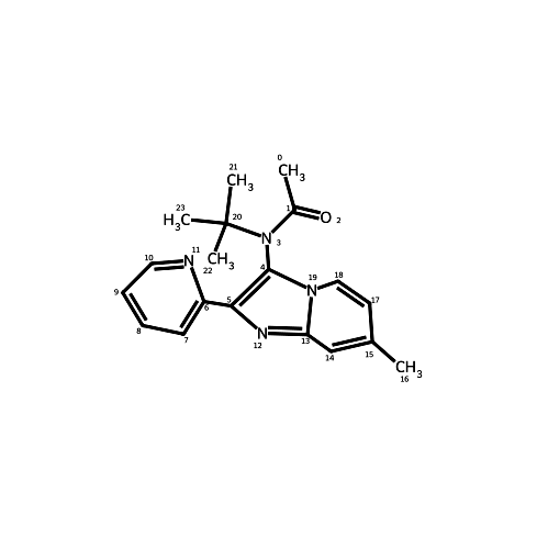 CC(=O)N(c1c(-c2ccccn2)nc2cc(C)ccn12)C(C)(C)C